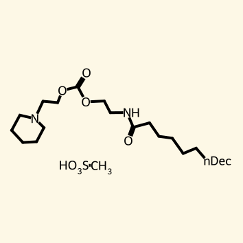 CCCCCCCCCCCCCCCC(=O)NCCOC(=O)OCCN1CCCCC1.CS(=O)(=O)O